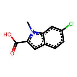 Cn1c(C(=O)O)cc2ccc(Cl)cc21